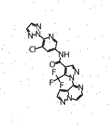 O=C(Nc1cnc(-n2nccn2)c(Cl)c1)c1cnn(-c2nccn3nccc23)c1C(F)(F)F